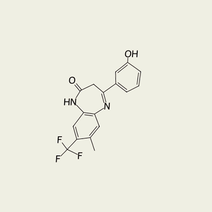 Cc1cc2c(cc1C(F)(F)F)NC(=O)CC(c1cccc(O)c1)=N2